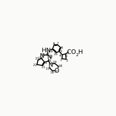 O=C(O)C1CCC1c1cccc(NC2=NC(N3CCOCC3)C3=CCCC3=N2)c1